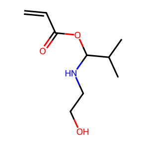 C=CC(=O)OC(NCCO)C(C)C